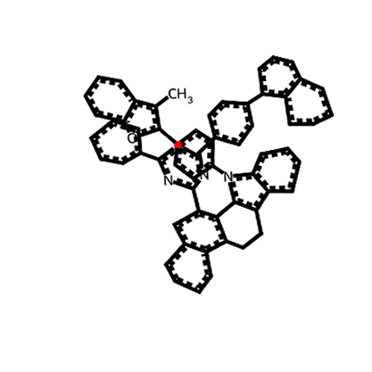 Cc1c(-c2ccc(-n3c4c(c5ccccc53)CCc3c-4c(-c4nc(-c5ccccc5)nc(-c5ccc(-c6cccc7ccccc67)cc5)n4)cc4ccccc34)cc2)oc2ccccc12